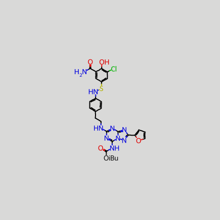 CC(C)COC(=O)Nc1nc(NCCc2ccc(NSc3cc(Cl)c(O)c(C(N)=O)c3)cc2)nc2nc(-c3ccco3)nn12